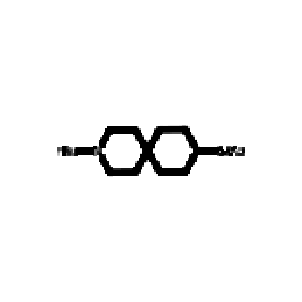 CSC1CCC2(CC1)CCN(C(C)(C)C)CC2